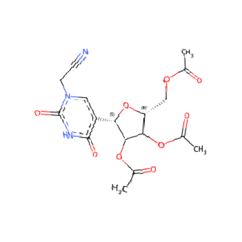 CC(=O)OC[C@H]1O[C@@H](c2cn(CC#N)c(=O)[nH]c2=O)C(OC(C)=O)C1OC(C)=O